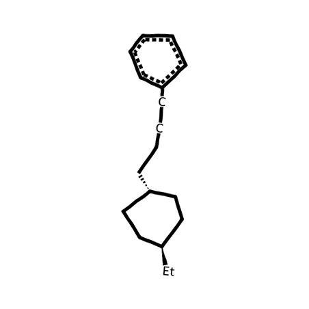 CC[C@H]1CC[C@H](CCCCc2ccccc2)CC1